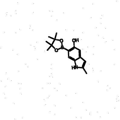 Cc1cc2cc(O)c(B3OC(C)(C)C(C)(C)O3)cc2[nH]1